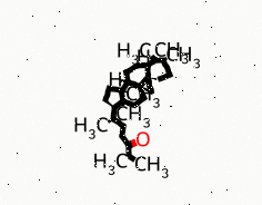 CC(C)C(=O)CC[C@@H](C)[C@H]1CC[C@@]2(C)[C@@H]3CC[C@H]4C(C)(C)[C@@H](C)CC[C@@]45C[C@@]35CC[C@]12C